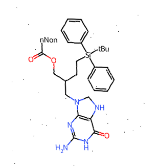 CCCCCCCCCC(=O)OCC(CC[Si](c1ccccc1)(c1ccccc1)C(C)(C)C)CN1CNc2c1nc(N)[nH]c2=O